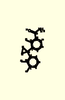 Cc1cccc(C2(c3cccc(C(N)=O)c3C)CC2)c1C